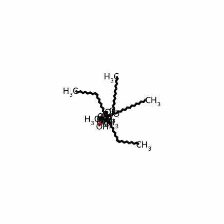 CCCCCCCC/C=C\CCCCCCCC(=O)OC(CCC(OCCCCCCCCCCCCCC)OCCCCCCCCCCCCCC)(OC(=O)CCCCCCC/C=C\CCCCCCCC)C(C)C(C)(CCO)[N+](C)(C)C